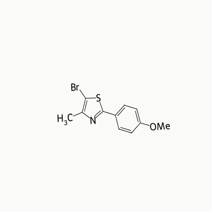 COc1ccc(-c2nc(C)c(Br)s2)cc1